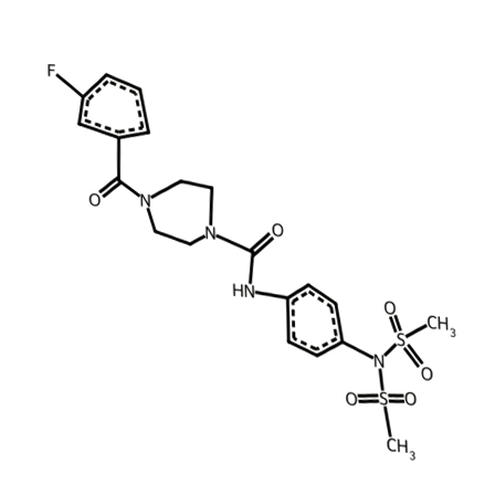 CS(=O)(=O)N(c1ccc(NC(=O)N2CCN(C(=O)c3cccc(F)c3)CC2)cc1)S(C)(=O)=O